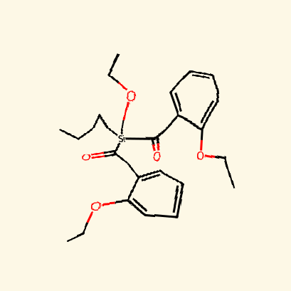 CCC[Si](OCC)(C(=O)c1ccccc1OCC)C(=O)c1ccccc1OCC